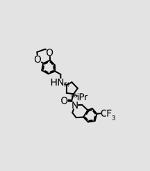 CC(C)[C@]1(C(=O)N2CCc3ccc(C(F)(F)F)cc3C2)CC[C@@H](NCc2ccc3c(c2)OCCO3)C1